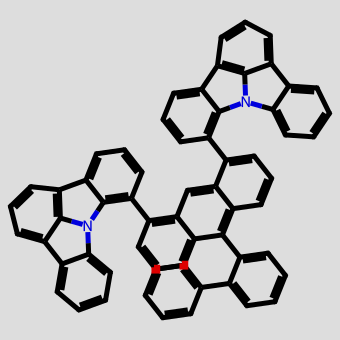 c1ccc(-c2ccccc2-c2c3cccc(-c4cccc5c6cccc7c8ccccc8n(c45)c76)c3cc3c(-c4cccc5c6cccc7c8ccccc8n(c45)c76)cccc23)cc1